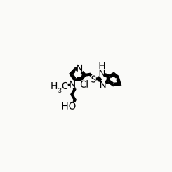 CN(CCCO)c1ccnc(CSc2nc3ccccc3[nH]2)c1Cl